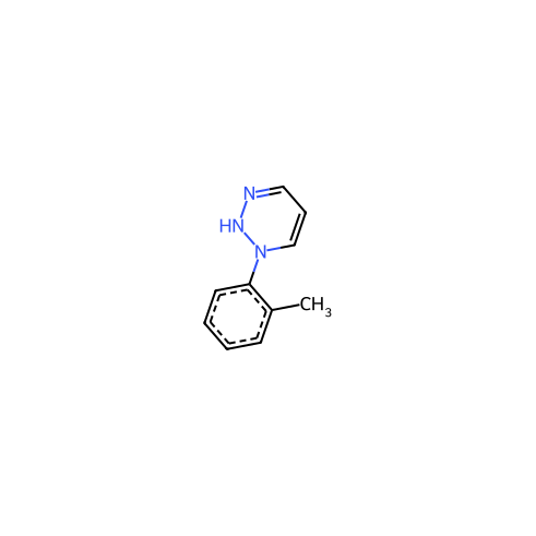 Cc1ccccc1N1C=CC=NN1